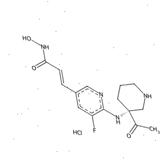 CC(=O)[C@@]1(Nc2ncc(/C=C/C(=O)NO)cc2F)CCCNC1.Cl